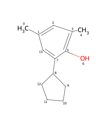 Cc1cc(C)c(O)c(C2CCCC2)c1